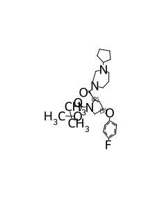 CC(C)(C)OC(=O)N1C[C@@H](Oc2ccc(F)cc2)C[C@@H]1C(=O)N1CCCN(C2CCCC2)CC1